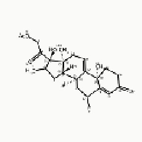 CC(=O)OCC(=O)[C@@]1(O)C(C)C[C@H]2[C@@H]3CC(F)C4=CC(=O)CC[C@]4(C)C3=CC[C@@]21C